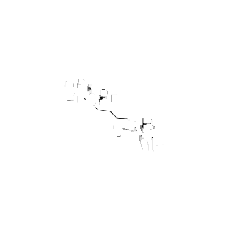 CCC[Si](Br)(Br)CCCC[Si](Br)(Br)CCC